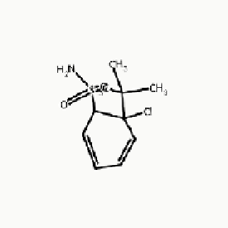 CC(C)(C)C1(Cl)C=CC=CC1S(N)(=O)=O